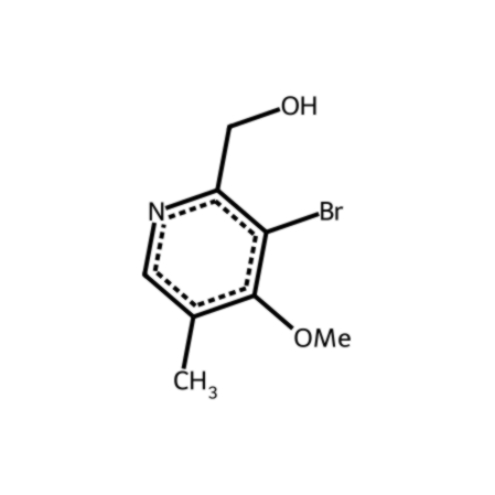 COc1c(C)cnc(CO)c1Br